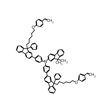 C=Cc1ccc(OCCCCCCC2(c3ccccc3)c3ccccc3-c3ccc(-c4ccc(N(c5ccc(-c6ccc7c(c6)C(CCCCCCOc6ccc(C=C)cc6)(c6ccccc6)c6ccccc6-7)cc5)c5ccc6c(c5)C(C)(C)c5ccccc5-6)cc4)cc32)cc1